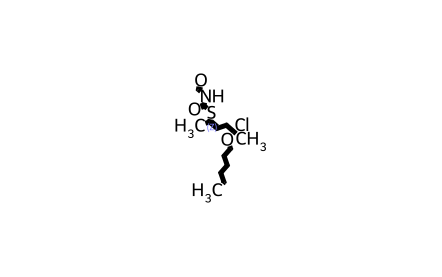 CCCCCCOC(C)(Cl)C/C=C(/C)SC(=O)NC=O